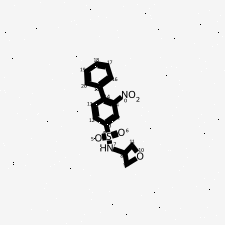 O=[N+]([O-])c1cc(S(=O)(=O)NC2COC2)ccc1-c1ccccc1